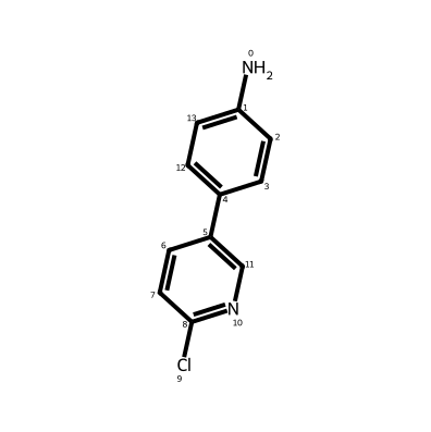 Nc1ccc(-c2ccc(Cl)nc2)cc1